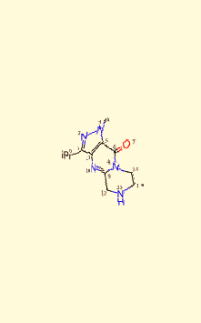 CC(C)c1nn(C)c2c(=O)n3c(nc12)CNCC3